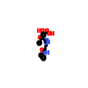 O=C(CCCn1cc(C2c3cc(C(=O)O)c(O)cc3OC2c2ccccc2)nn1)Nc1cccc2ccccc12